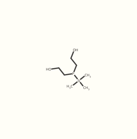 C[Si](C)(C)P(CCO)CCO